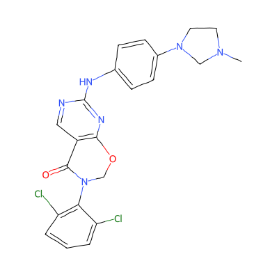 CN1CCN(c2ccc(Nc3ncc4c(n3)OCN(c3c(Cl)cccc3Cl)C4=O)cc2)C1